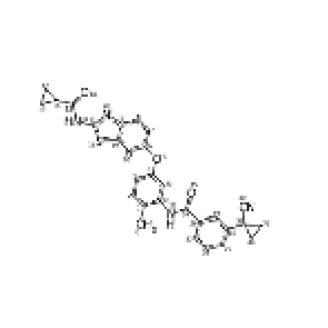 Cc1ccc(Oc2ccc3nc(NC(=O)C4CC4)sc3n2)cc1NC(=O)c1cccc(C2(C#N)CC2)c1